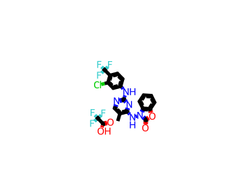 Cc1cnc(Nc2ccc(C(F)(F)F)c(Cl)c2)nc1Nn1c(=O)oc2ccccc21.O=C(O)C(F)(F)F